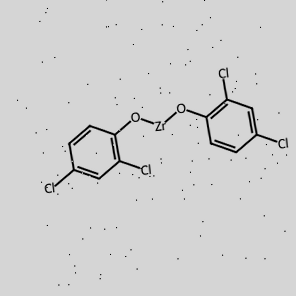 Clc1ccc([O][Zr][O]c2ccc(Cl)cc2Cl)c(Cl)c1